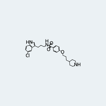 O=S(=O)(NCCCc1c[nH]c2ccc(Cl)cc12)c1ccc(OCCCC2CCNCC2)cc1